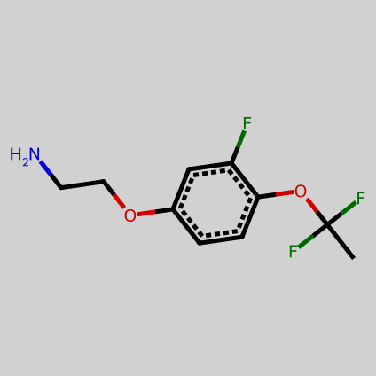 CC(F)(F)Oc1ccc(OCCN)cc1F